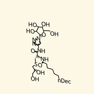 CCCCCCCCCCCCCCCC(=O)N[C@H](CSC[C@H](O)CO)C(=O)Nc1cn([C@H]2OC(CO)C(O)C(O)C2O)nn1